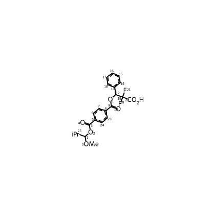 COC(OC(=O)c1ccc(C(=O)OC(c2ccccc2)C(F)(F)C(=O)O)cc1)C(C)C